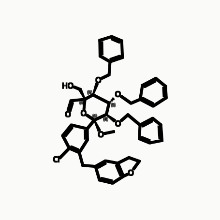 CO[C@@]1(c2ccc(Cl)c(Cc3ccc4c(c3)CCO4)c2)O[C@@](C=O)(CO)[C@@H](OCc2ccccc2)[C@H](OCc2ccccc2)[C@H]1OCc1ccccc1